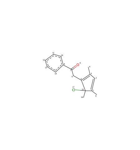 CC1=CC(C)=C(CC(=O)c2ccccc2)C1(C)Cl